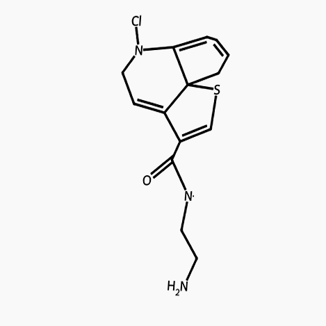 NCC[N]C(=O)C1=CSC23CC=CC=C2N(Cl)CC=C13